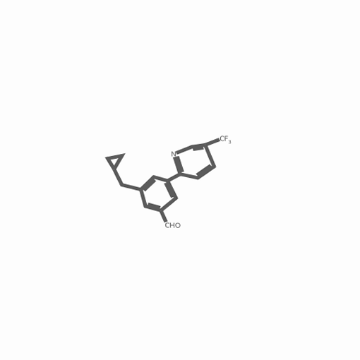 O=Cc1cc(CC2CC2)cc(-c2ccc(C(F)(F)F)cn2)c1